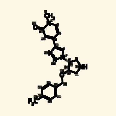 Cn1ccc(-c2cn([C@@H]3CNC[C@H]3OCc3ccc(C(F)(F)F)cc3)nn2)cc1=O